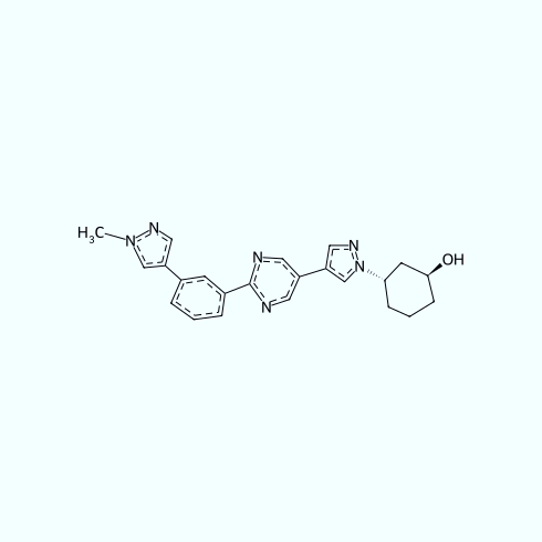 Cn1cc(-c2cccc(-c3ncc(-c4cnn([C@H]5CCC[C@H](O)C5)c4)cn3)c2)cn1